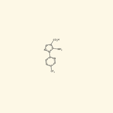 Nc1c(C(=O)O)cnn1-c1ccc(C(F)(F)F)cn1